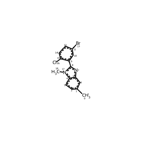 Cc1ccc2c(c1)nc(-c1cc(Br)ccc1Cl)n2C